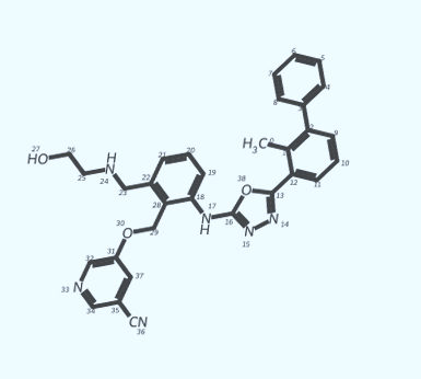 Cc1c(-c2ccccc2)cccc1-c1nnc(Nc2cccc(CNCCO)c2COc2cncc(C#N)c2)o1